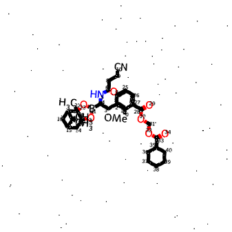 COc1c(CC(NC(=O)CCC#N)B2OC3CC4CC(C4(C)C)C3(C)O2)cccc1C(=O)OCOC(=O)C1CCCCC1